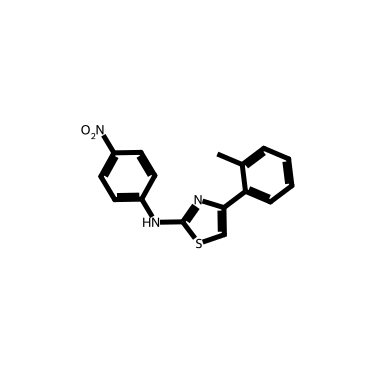 Cc1ccccc1-c1csc(Nc2ccc([N+](=O)[O-])cc2)n1